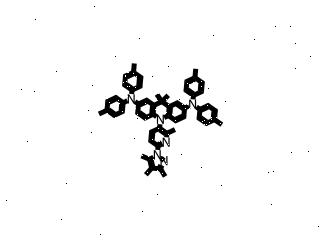 Cc1ccc(N(c2ccc(C)cc2)c2ccc3c(c2)C(C)(C)c2cc(N(c4ccc(C)cc4)c4ccc(C)cc4)ccc2N3c2ccc(-n3nc(C)c(C)c3C)nc2C)cc1